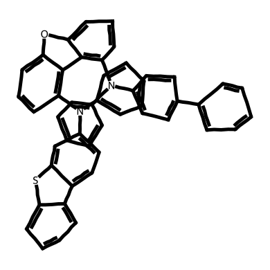 c1ccc(-c2ccc(N(c3ccccc3)c3cccc4oc5cccc(N(c6ccccc6)c6ccc7c(c6)sc6ccccc67)c5c34)cc2)cc1